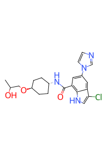 CC(O)CO[C@H]1CC[C@H](NC(=O)c2cc(-n3ccnc3)cc3c(Cl)c[nH]c23)CC1